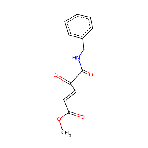 COC(=O)C=CC(=O)C(=O)NCc1ccccc1